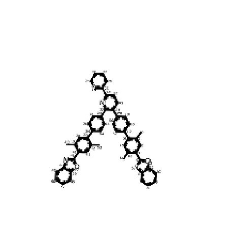 Cc1cc(-c2nc3ccccc3o2)c(C)cc1-c1ccc(-c2ccc(-c3ccccn3)nc2-c2ccc(-c3cc(C)c(-c4nc5ccccc5o4)cc3C)cc2)cc1